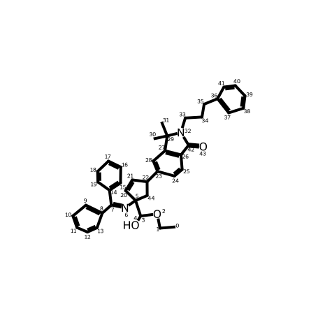 CCOC(O)C1(N=C(c2ccccc2)c2ccccc2)C=CC(c2ccc3c(c2)C(C)(C)N(CCCc2ccccc2)C3=O)C1